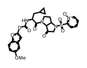 COc1ccc2oc(OC(=O)NC(CC3CC3)C(=O)N3CCC4C3C(=O)CN4S(=O)(=O)c3cccc[n+]3[O-])cc2c1